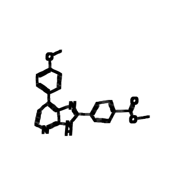 COC(=O)c1ccc(-c2nc3c(-c4ccc(OC)cc4)ccnc3[nH]2)cc1